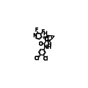 O=C(Nc1ccc(Cl)c(Cl)c1)C1[C@H]2O[C@H](C3CC32)[C@H]1c1ccnc(F)c1F